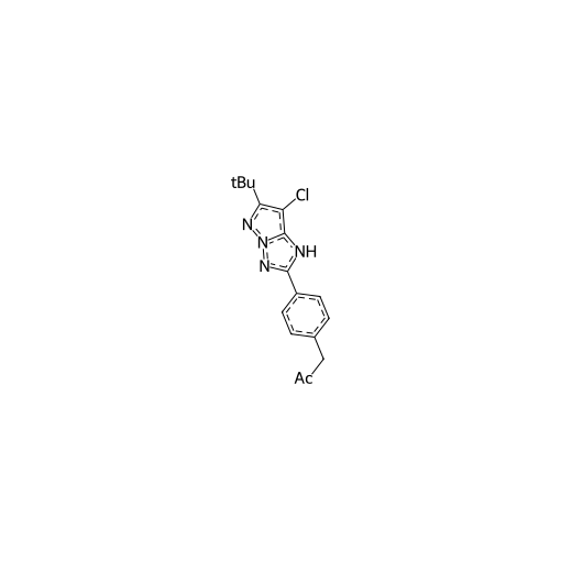 CC(=O)Cc1ccc(-c2nn3nc(C(C)(C)C)c(Cl)c3[nH]2)cc1